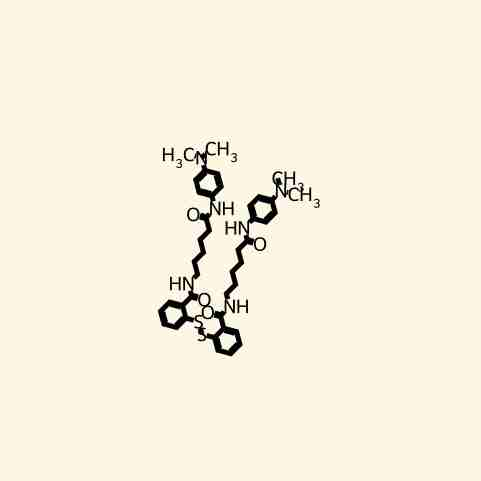 CN(C)c1ccc(NC(=O)CCCCCNC(=O)c2ccccc2SSc2ccccc2C(=O)NCCCCCC(=O)Nc2ccc(N(C)C)cc2)cc1